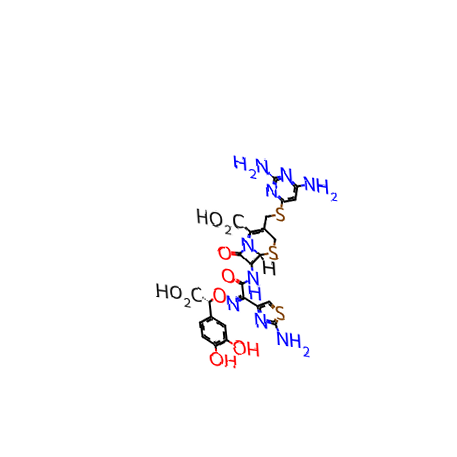 Nc1cc(SCC2=C(C(=O)O)N3C(=O)C(NC(=O)/C(=N\O[C@@H](C(=O)O)c4ccc(O)c(O)c4)c4csc(N)n4)[C@H]3SC2)nc(N)n1